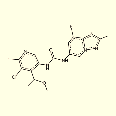 COC(C)c1c(NC(=O)Nc2cc(F)c3nc(C)nn3c2)cnc(C)c1Cl